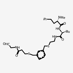 CC[C@H](C)[C@H](NC(=O)[C@H](CCC(C)C)NC)C(=O)NCCSCc1cccc(CSCCC(=O)NCC=O)c1